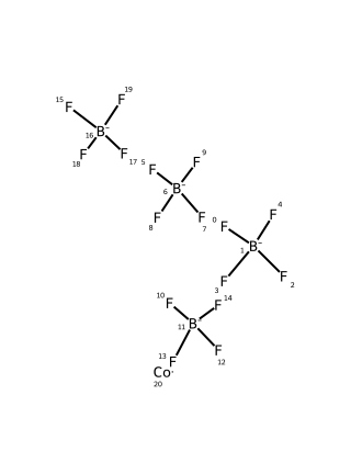 F[B-](F)(F)F.F[B-](F)(F)F.F[B-](F)(F)F.F[B-](F)(F)F.[Co]